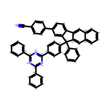 N#Cc1ccc(-c2ccc3c(c2)C(c2ccccc2)(c2ccc(-c4nc(-c5ccccc5)nc(-c5ccccc5)n4)cc2)c2cc4ccccc4cc2-3)cc1